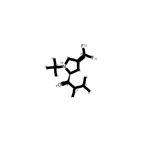 CC(C)C(C)C(=O)[C@@H]1CC(=C(F)F)CN1C(C)(C)C